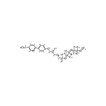 CCCCCCCCc1ccc(-c2ccc(OC[C@@H](F)COCC(F)(F)OC(F)(F)C(F)(F)OC(F)(F)C(F)(F)OC(F)(F)F)cc2)nc1